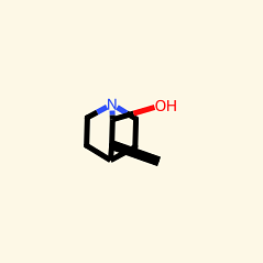 C=C1C2CCN(CC2)C1O